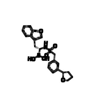 O=S(=O)(Cc1cccc(C2CCCO2)c1)N[C@@H](Cc1coc2ccccc12)B(O)O